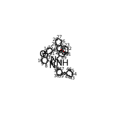 c1ccc(C2=NC(c3cccc4oc5ccc(-c6cc7ccccc7c7ccccc67)cc5c34)=NC(c3cccc(-c4ccccc4)c3)N2)cc1